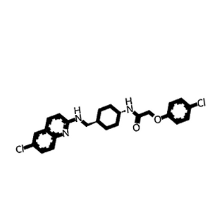 O=C(COc1ccc(Cl)cc1)N[C@H]1CC[C@H](CNc2ccc3cc(Cl)ccc3n2)CC1